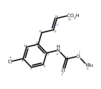 CC(C)(C)OC(=O)Nc1ccc(Cl)cc1C/C=C/C(=O)O